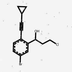 OC(CCCl)c1cc(Br)ccc1C#CC1CC1